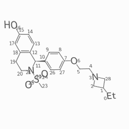 CCC1CN(CCOc2ccc([C@@H]3c4ccc(O)cc4CCN3S(C)(=O)=O)cc2)C1